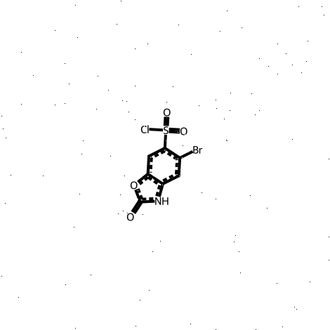 O=c1[nH]c2cc(Br)c(S(=O)(=O)Cl)cc2o1